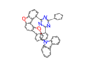 c1ccc(-c2nc(-c3ccccc3)nc(-c3cccc4oc5ccc6c7ccc(-n8c9ccccc9c9ccccc98)cc7oc6c5c34)n2)cc1